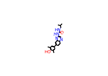 Cc1cc(-c2ccc3ncc(NC(=O)NCC(C)C)nc3c2)cc(C)c1O